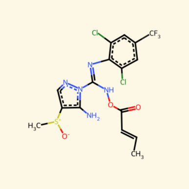 CC=CC(=O)ONC(=Nc1c(Cl)cc(C(F)(F)F)cc1Cl)n1ncc([S+](C)[O-])c1N